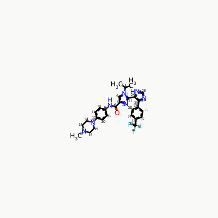 CC(C)n1cc(C(=O)Nc2ccc(N3CCN(C)CC3)cc2)nc1-c1[nH]cnc1-c1ccc(C(F)(F)F)cc1